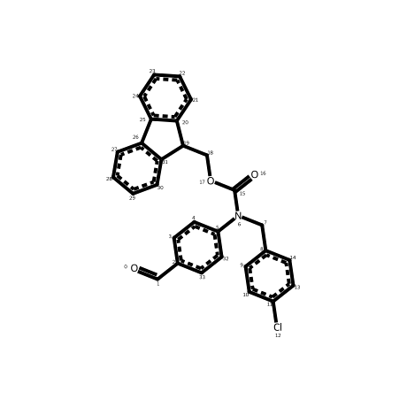 O=Cc1ccc(N(Cc2ccc(Cl)cc2)C(=O)OCC2c3ccccc3-c3ccccc32)cc1